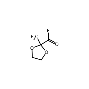 O=C(F)C1(C(F)(F)F)OCCO1